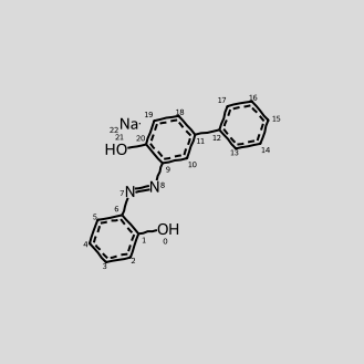 Oc1ccccc1N=Nc1cc(-c2ccccc2)ccc1O.[Na]